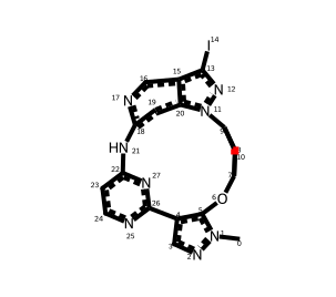 Cn1ncc2c1OC1CC(C1)n1nc(I)c3cnc(cc31)Nc1ccnc-2n1